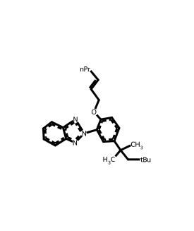 CCCC=CCOc1ccc(C(C)(C)CC(C)(C)C)cc1-n1nc2ccccc2n1